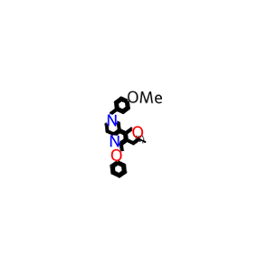 COc1ccc(CN2CCc3nc(COc4ccccc4)c4c(c3C2)CO[C@@H](C)C4)cc1